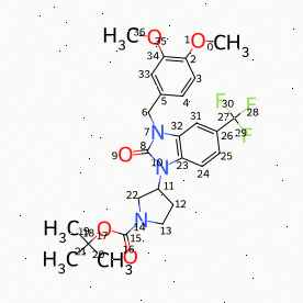 COc1ccc(Cn2c(=O)n(C3CCN(C(=O)OC(C)(C)C)C3)c3ccc(C(F)(F)F)cc32)cc1OC